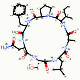 CCC(C)C1NC(=O)C(C)NC(=O)C(CC(C)C)NC(=O)[C@H](CO)NC(=O)C(CC(N)=O)NC(=O)C(Cc2ccccc2)NC(=O)C2CCCN2C1=O